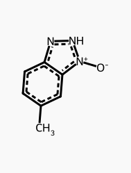 Cc1ccc2n[nH][n+]([O-])c2c1